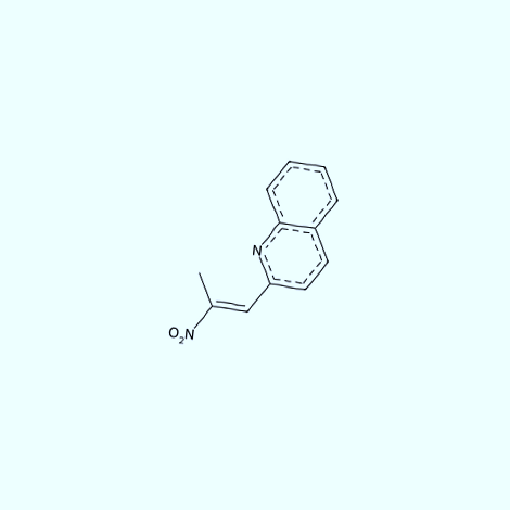 CC(=Cc1ccc2ccccc2n1)[N+](=O)[O-]